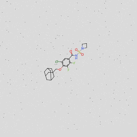 O=C(NS(=O)(=O)N1CCC1)c1cc(Cl)c(OCC23CC4CC(CC(C4)C2)C3)c(F)c1F